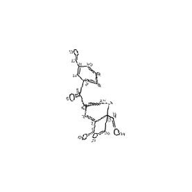 O=CC1=CC(C(=O)c2cccc(C=O)c2)=CCC1(C=O)C=O